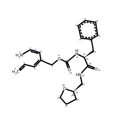 C=C/C=C(\C=C/N)COC(=O)N[C@@H](Cc1ccccc1)C(=O)NC[C@H]1CCCO1